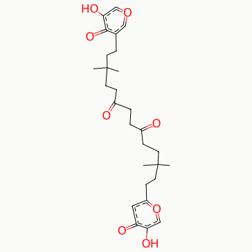 CC(C)(CCC(=O)CCC(=O)CCC(C)(C)CCc1cocc(O)c1=O)CCc1cc(=O)c(O)co1